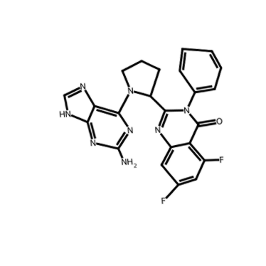 Nc1nc(N2CCCC2c2nc3cc(F)cc(F)c3c(=O)n2-c2ccccc2)c2nc[nH]c2n1